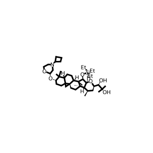 CC[Si](CC)(CC)O[C@H]1[C@H]2O[C@@H]([C@H](O)C(C)(C)O)C[C@@H](C)[C@@H]2[C@@]2(C)CC[C@@]34CC35CC[C@H](O[C@H]3CN(C6CCC6)CCO3)C(C)(C)[C@@H]5CC[C@H]4[C@]12C